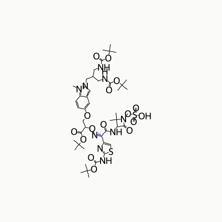 C[n+]1c2ccc(OCC(O/N=C(\C(=O)NC3C(=O)N(OS(=O)(=O)O)C3(C)C)c3csc(NC(=O)OC(C)(C)C)n3)C(=O)OC(C)(C)C)cc2cn1CC(CNC(=O)OC(C)(C)C)CNC(=O)OC(C)(C)C